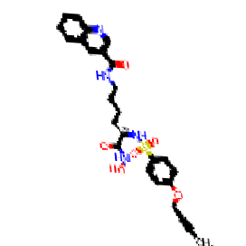 CC#CCOc1ccc(S(=O)(=O)N[C@H](CCCCNC(=O)c2cnc3ccccc3c2)C(=O)NO)cc1